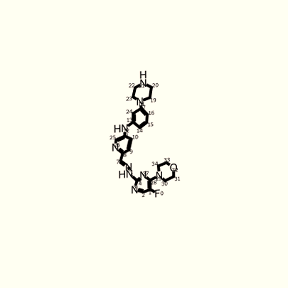 Fc1cnc(N/N=C/c2ccc(Nc3cccc(N4CCNCC4)c3)cn2)nc1N1CCOCC1